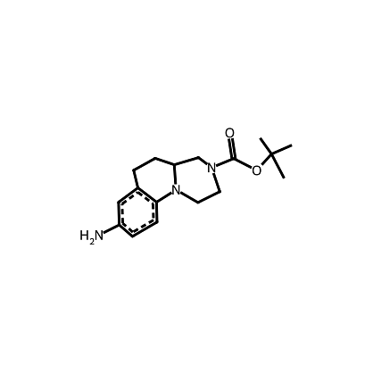 CC(C)(C)OC(=O)N1CCN2c3ccc(N)cc3CCC2C1